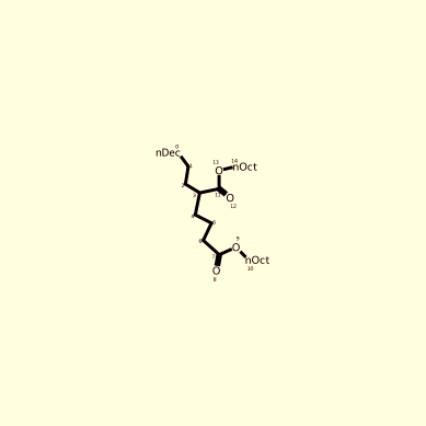 CCCCCCCCCCCCC(CCCC(=O)OCCCCCCCC)C(=O)OCCCCCCCC